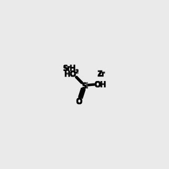 O=[Si](O)O.[SrH2].[Zr]